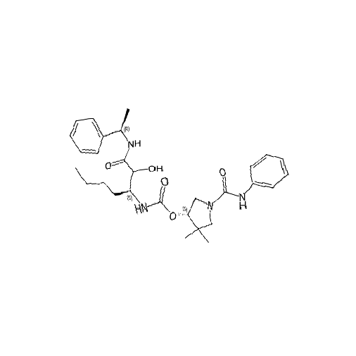 CCCC[C@H](NC(=O)O[C@@H]1CN(C(=O)Nc2ccccc2)CC1(C)C)C(O)C(=O)N[C@H](C)c1ccccc1